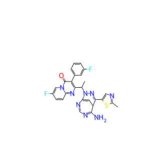 Cc1ncc(C2=NN(C(C)c3nc4ccc(F)cn4c(=O)c3-c3cccc(F)c3)C3=CC2C(N)=NC=N3)s1